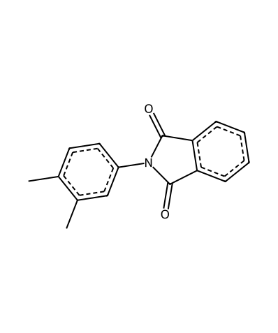 Cc1ccc(N2C(=O)c3ccccc3C2=O)cc1C